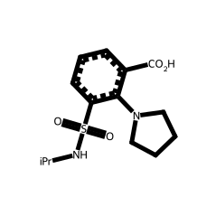 CC(C)NS(=O)(=O)c1cccc(C(=O)O)c1N1CCCC1